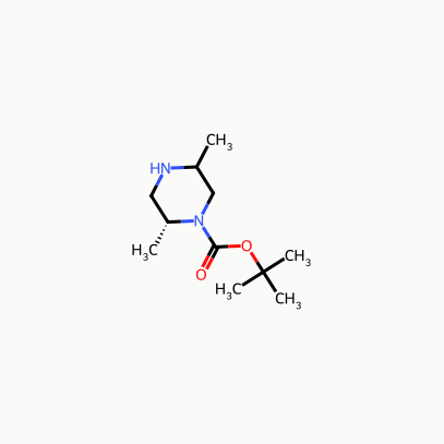 CC1CN(C(=O)OC(C)(C)C)[C@H](C)CN1